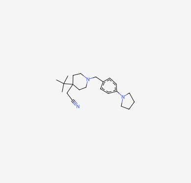 CC(C)(C)C1(CC#N)CCN(Cc2ccc(N3CCCC3)cc2)CC1